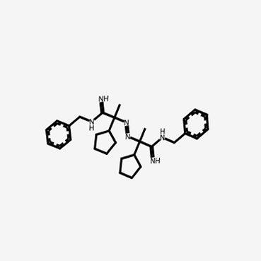 CC(/N=N/C(C)(C(=N)NCc1ccccc1)C1CCCC1)(C(=N)NCc1ccccc1)C1CCCC1